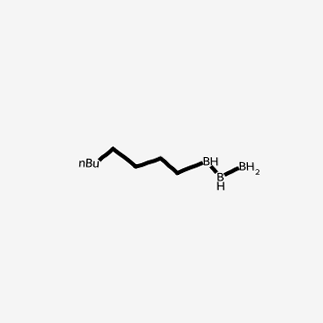 BBBCCCCCCCC